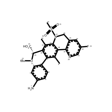 Cc1c(-c2ccc(N)cc2)c([C@H](OC(C)(C)C)C(=O)O)c(C)c2c1-c1ncc(F)cc1CN2S(C)(=O)=O